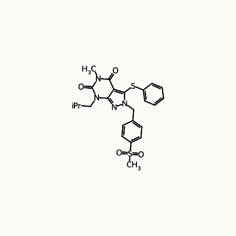 CC(C)Cn1c(=O)n(C)c(=O)c2c(Sc3ccccc3)n(Cc3ccc(S(C)(=O)=O)cc3)nc21